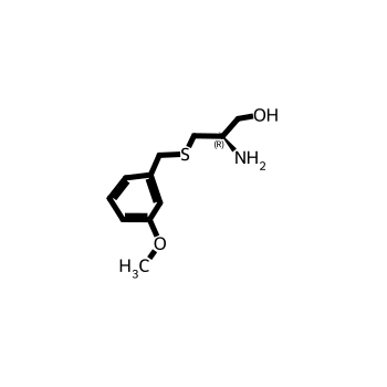 COc1cccc(CSC[C@H](N)CO)c1